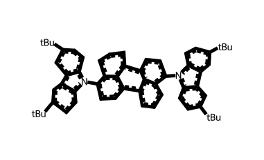 CC(C)(C)c1ccc2c(c1)c1cc(C(C)(C)C)ccc1n2-c1ccc2c3cccc4c(-n5c6ccc(C(C)(C)C)cc6c6cc(C(C)(C)C)ccc65)ccc(c5cccc1c52)c43